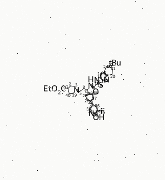 CCOC(=O)C1CCN(CCC(NC(=O)c2nc3cc4c(nc3s2)CC[C@H](C(C)(C)C)C4)c2ccc(-c3cnc(O)c(F)c3)cc2)CC1